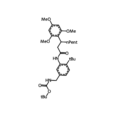 CCCCCC(CC(=O)Nc1cc(CNC(=O)OC(C)(C)C)ccc1C(C)(C)C)c1c(OC)cc(OC)cc1OC